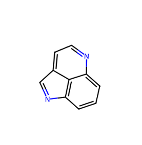 C1=Nc2cccc3nccc1c23